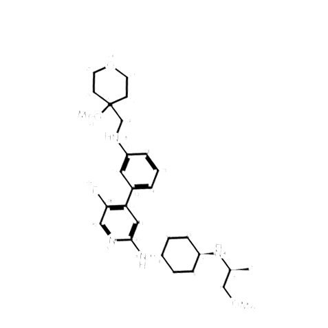 COC[C@H](C)N[C@H]1CC[C@H](Nc2cc(-c3cccc(NCC4(OC)CCOCC4)c3)c(F)cn2)CC1